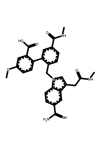 CNC(=O)Cc1cn(Cc2ccc(C(=O)NC)cc2-c2ccc(OC)cc2C(=O)O)c2ccc(C(=N)N)cc12